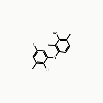 CC(=O)c1c(C)ccc(Oc2cc(F)cc(C)c2Cl)c1C